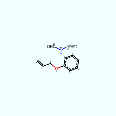 C=CCOc1ccccc1.CCCCCNC=O